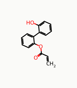 C=CC(=O)Oc1ccccc1-c1ccccc1O